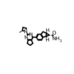 C[C@H]1CCN1c1nc2c(c(-c3ccc4c(c3)C[C@@H]3[C@H](C(N)=O)[C@H]43)n1)CCC2